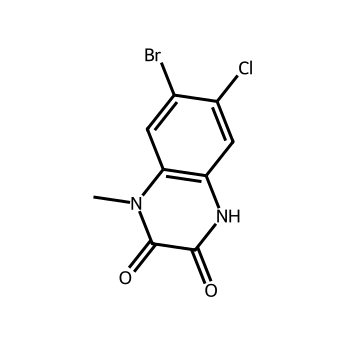 Cn1c(=O)c(=O)[nH]c2cc(Cl)c(Br)cc21